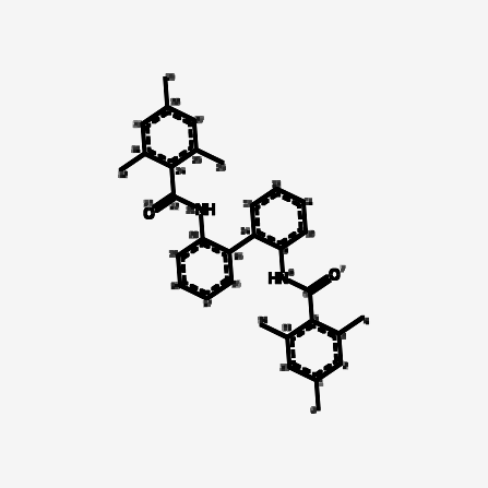 Cc1cc(C)c(C(=O)Nc2ccccc2-c2ccccc2NC(=O)c2c(C)cc(C)cc2C)c(C)c1